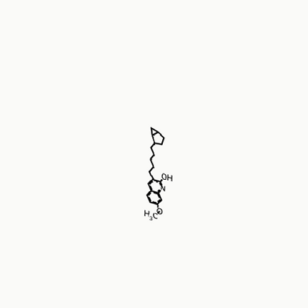 COc1ccc2cc(CCCCCC3CCC4CC34)c(O)nc2c1